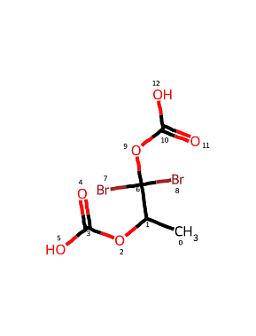 CC(OC(=O)O)C(Br)(Br)OC(=O)O